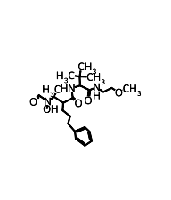 COCCNC(=O)C(NC(=O)C(CCCc1ccccc1)[C@H](C)N(O)C=O)C(C)(C)C